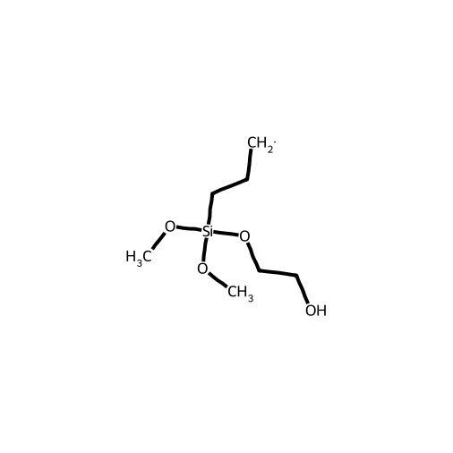 [CH2]CC[Si](OC)(OC)OCCO